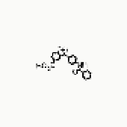 O=C(O)c1ccc2noc(-c3ccc(NC(=O)c4ccccc4)cc3)c2c1